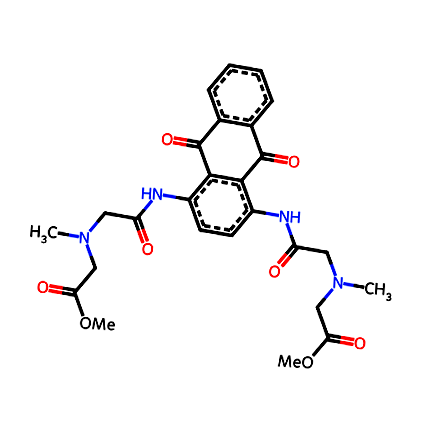 COC(=O)CN(C)CC(=O)Nc1ccc(NC(=O)CN(C)CC(=O)OC)c2c1C(=O)c1ccccc1C2=O